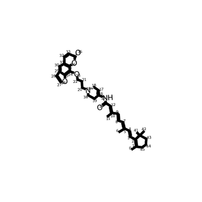 CC1=C(/C=C/C(C)=C/C=C/C(C)=C/C(=O)NC2=CC=[N+](CCCOc3c4occc4cc4ccc(=O)oc34)CC2)C(C)(C)CCC1